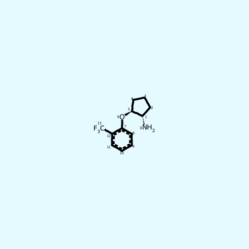 N[C@H]1CCC[C@@H]1Oc1ccccc1C(F)(F)F